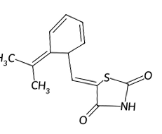 CC(C)=C1C=CC=CC1C=C1SC(=O)NC1=O